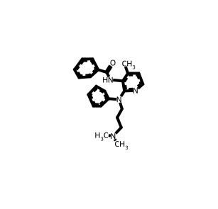 Cc1ccnc(N(CCCN(C)C)c2ccccc2)c1NC(=O)c1ccccc1